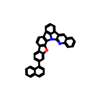 c1ccc2nc3c(cc2c1)c1cccc2c4ccc5c6ccc(-c7cccc8ccccc78)cc6oc5c4n3c12